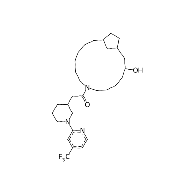 O=C(CC1CCCN(c2cc(C(F)(F)F)ccn2)C1)N1CCCCCCC2CCC(CC(O)CCCC1)C2